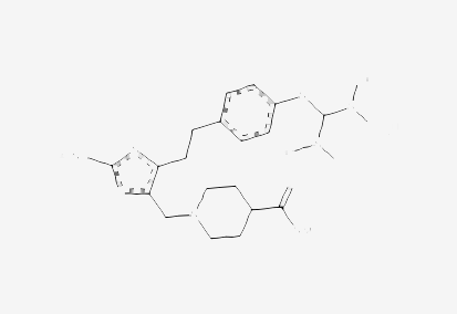 CNC(=O)C1CCN(Cc2sc(NC(C)=O)nc2CCc2ccc(NC(N(C(=O)O)C(C)(C)C)N(C(=O)O)C(C)(C)C)cc2)CC1